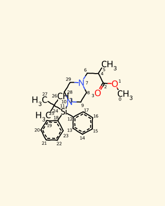 COC(=O)C(C)CN1CCN([Si](c2ccccc2)(c2ccccc2)C(C)(C)C)CC1